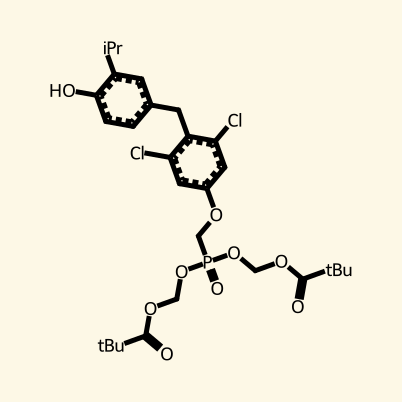 CC(C)c1cc(Cc2c(Cl)cc(OCP(=O)(OCOC(=O)C(C)(C)C)OCOC(=O)C(C)(C)C)cc2Cl)ccc1O